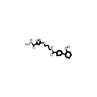 CCOc1ccccc1-c1ccc(C(=O)NCCCOc2cc(C(=O)NO)on2)cc1